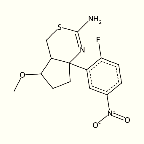 COC1CCC2(c3cc([N+](=O)[O-])ccc3F)N=C(N)SCC12